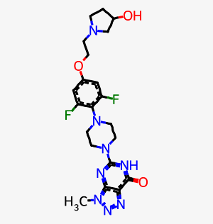 Cn1nnc2c(=O)[nH]c(N3CCN(c4c(F)cc(OCCN5CCC(O)C5)cc4F)CC3)nc21